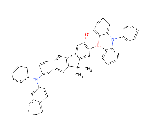 CC1(C)c2cc3c(cc2-c2cc4ccc(N(c5ccccc5)c5ccc6ccccc6c5)cc4cc21)Oc1cccc2c1B3c1ccccc1N2c1ccccc1